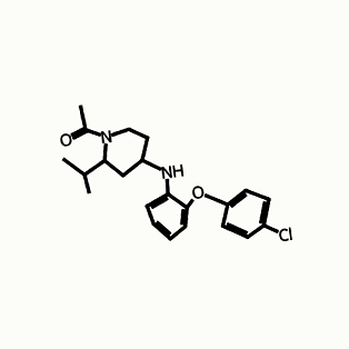 CC(=O)N1CCC(Nc2ccccc2Oc2ccc(Cl)cc2)CC1C(C)C